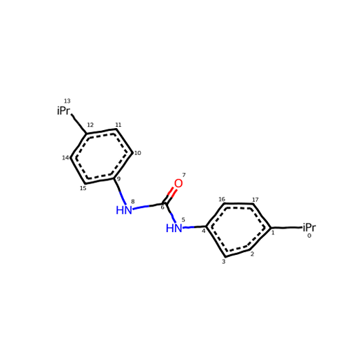 CC(C)c1ccc(NC(=O)Nc2ccc(C(C)C)cc2)cc1